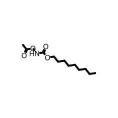 CCCCCCCCCOC(=O)NOC(C)=O